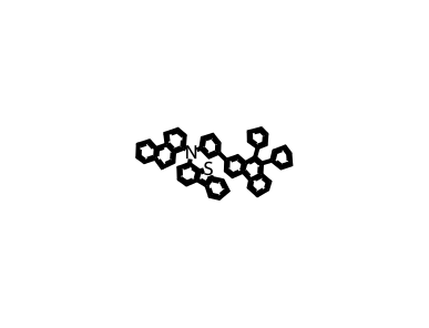 c1ccc(-c2c(-c3ccccc3)c3cc(-c4cccc(N(c5cccc6c5ccc5ccccc56)c5cccc6c5sc5ccccc56)c4)ccc3c3ccccc23)cc1